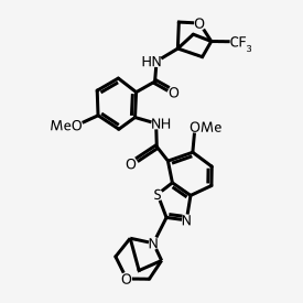 COc1ccc(C(=O)NC23COC(C(F)(F)F)(C2)C3)c(NC(=O)c2c(OC)ccc3nc(N4C5COCC4C5)sc23)c1